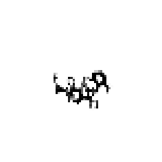 O=c1c2nn(Cc3c(F)cccc3F)c(Cl)c2cnn1[C@@H]1C[C@H]1F